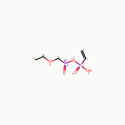 C=CP(=O)(O)O[PH](=O)COCC